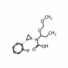 CCC(OCOC)N(C(=O)O)[C@H]1C[C@H]1c1ccccc1F